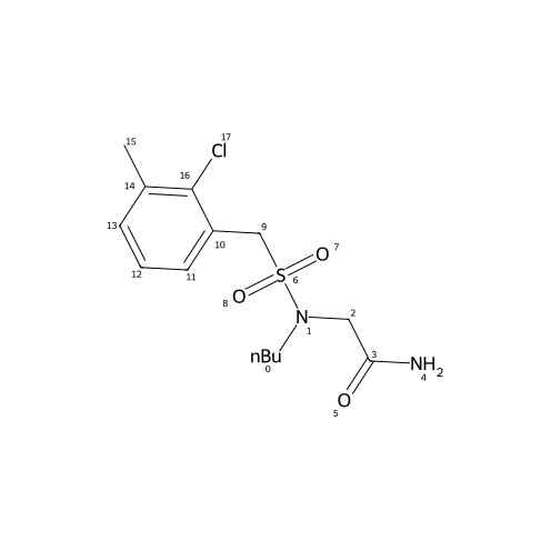 CCCCN(CC(N)=O)S(=O)(=O)Cc1cccc(C)c1Cl